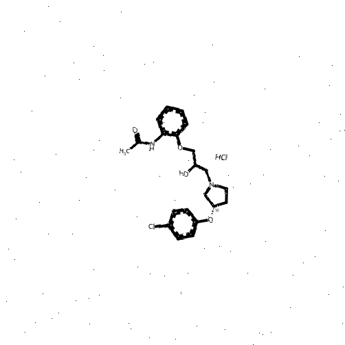 CC(=O)Nc1ccccc1OCC(O)CN1CC[C@H](Oc2ccc(Cl)cc2)C1.Cl